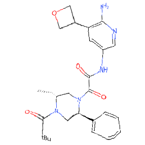 C[C@@H]1CN(C(=O)C(=O)Nc2cnc(N)c(C3COC3)c2)[C@@H](c2ccccc2)CN1C(=O)C(C)(C)C